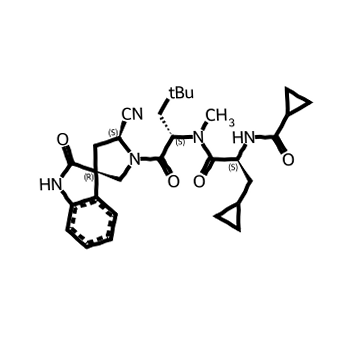 CN(C(=O)[C@H](CC1CC1)NC(=O)C1CC1)[C@@H](CC(C)(C)C)C(=O)N1C[C@]2(C[C@H]1C#N)C(=O)Nc1ccccc12